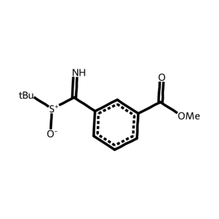 COC(=O)c1cccc(C(=N)[S+]([O-])C(C)(C)C)c1